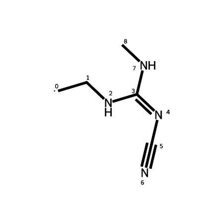 [CH2]CN/C(=N\C#N)NC